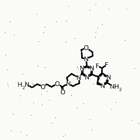 NCCOCCOC(=O)N1CCN(c2nc(-c3cnc(N)nc3C(F)F)nc(N3CCOCC3)n2)CC1